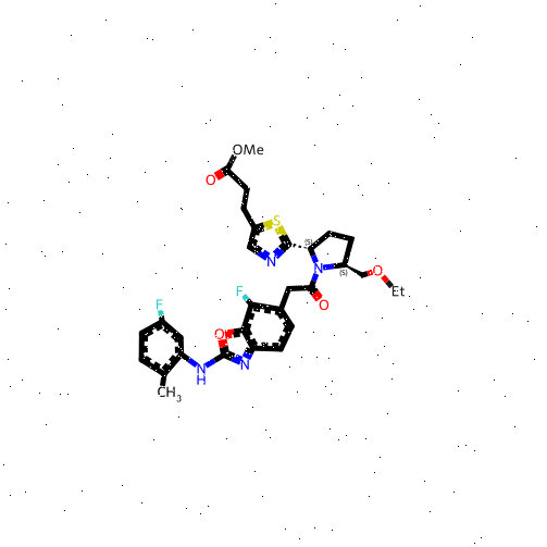 CCOC[C@@H]1CC[C@@H](c2ncc(CCC(=O)OC)s2)N1C(=O)Cc1ccc2nc(Nc3cc(F)ccc3C)oc2c1F